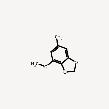 [CH2]c1cc(OC)c2c(c1)OCO2